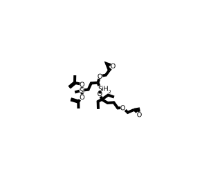 C=C(C)O[Si](C)(CCC(OCC1CO1)[SiH2]OC(CC)(CC)CCCOCC1CO1)OC(=C)C